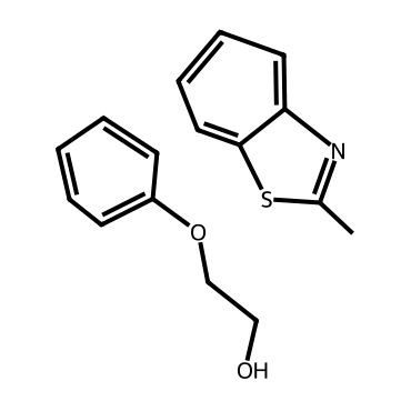 Cc1nc2ccccc2s1.OCCOc1ccccc1